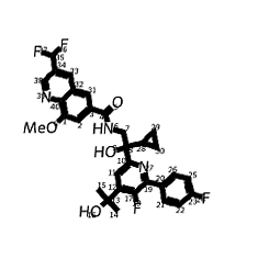 COc1cc(C(=O)NCC(O)(c2cc(C(C)(C)O)c(F)c(-c3ccc(F)cc3)n2)C2CC2)cc2cc(C(F)F)cnc12